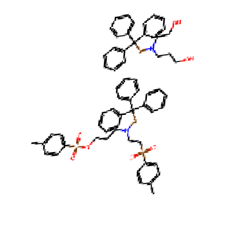 Cc1ccc(S(=O)(=O)CCN(CCCOS(=O)(=O)c2ccc(C)cc2)SC(c2ccccc2)(c2ccccc2)c2ccccc2)cc1.OCCCN(CCO)SC(c1ccccc1)(c1ccccc1)c1ccccc1